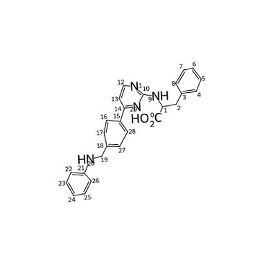 O=C(O)C(Cc1ccccc1)Nc1nccc(-c2ccc(CNc3ccccc3)cc2)n1